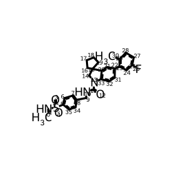 CNS(=O)(=O)c1ccc(CNC(=O)N2CC3(CCCC3)c3cc(-c4cc(F)ccc4C)ccc32)cc1